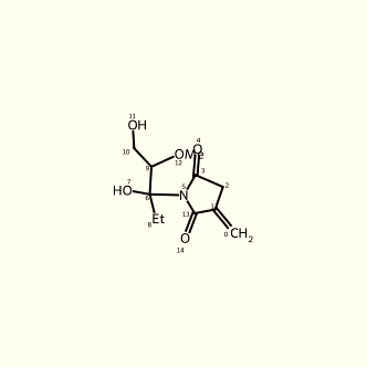 C=C1CC(=O)N(C(O)(CC)C(CO)OC)C1=O